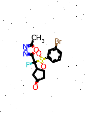 Cc1nnc(C(F)(C2CCC(=O)C2)S(=O)(=O)c2cccc(Br)c2)o1